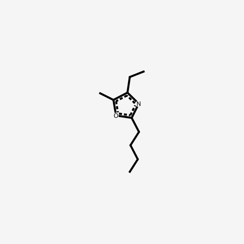 CCCCc1nc(CC)c(C)o1